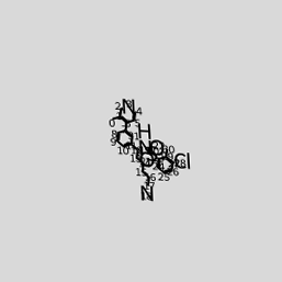 Cc1cnccc1-c1cccc(C(CCCCC#N)NS(=O)(=O)c2cccc(Cl)c2C)c1